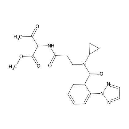 COC(=O)C(NC(=O)CCN(C(=O)c1ccccc1-n1nccn1)C1CC1)C(C)=O